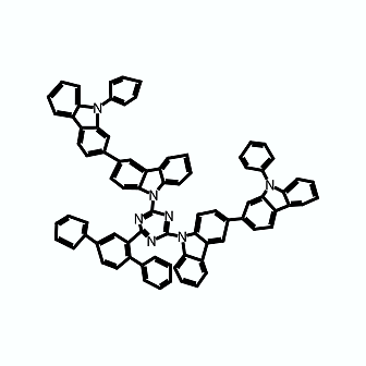 c1ccc(-c2ccc(-c3ccccc3)c(-c3nc(-n4c5ccccc5c5cc(-c6ccc7c8ccccc8n(-c8ccccc8)c7c6)ccc54)nc(-n4c5ccccc5c5cc(-c6ccc7c8ccccc8n(-c8ccccc8)c7c6)ccc54)n3)c2)cc1